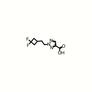 O=C(O)c1cnn(CCC2CC(F)(F)C2)n1